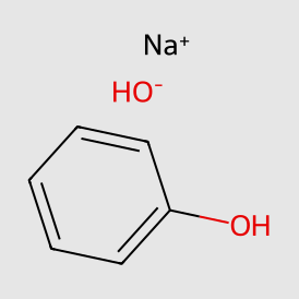 Oc1ccccc1.[Na+].[OH-]